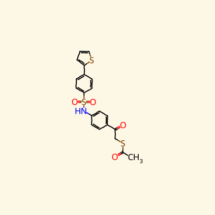 CC(=O)SCC(=O)c1ccc(NS(=O)(=O)c2ccc(-c3cccs3)cc2)cc1